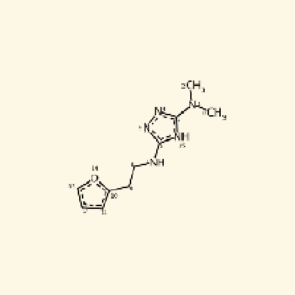 CN(C)c1nnc(NCCc2ccco2)[nH]1